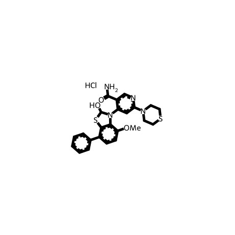 COc1ccc(-c2ccccc2)c2c1N(c1cc(N3CCSCC3)ncc1C(N)=O)C(O)S2.Cl